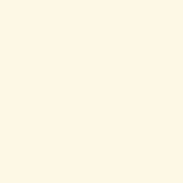 O=CC1=Cc2ccc(OCc3ccc(Oc4ccccc4)c(Cl)c3)cc2OC1